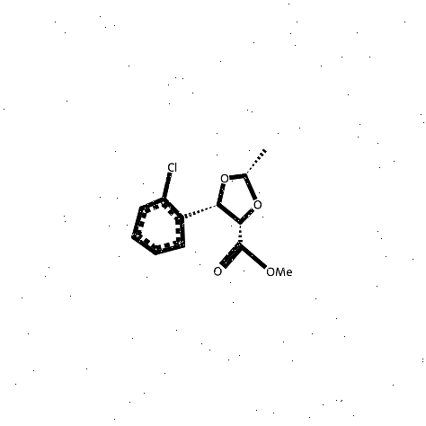 COC(=O)[C@H]1O[C@@H](C)O[C@H]1c1ccccc1Cl